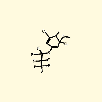 CSC1(Cl)C=C(SC(F)(F)C(F)(F)C(F)(F)F)C=C(Cl)[C]1C